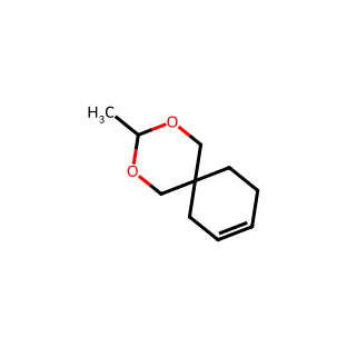 CC1OCC2(CC=CCC2)CO1